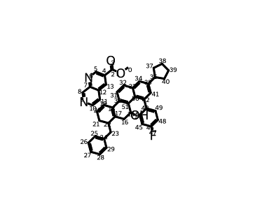 COC(=O)c1cnc2cnccc2c1.OC1CC2=C(C=CCC2Cc2ccccc2)c2ccc3cc(C4CCCC4)cc(-c4ccc(F)cc4)c3c21